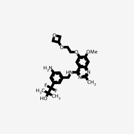 COc1cc2nc(C)nc(NCc3cc(N)cc(C(F)(F)C(C)(C)O)c3)c2cc1OCCOC1COC1